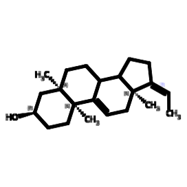 C/C=C1/CCC2C3CC[C@]4(C)C[C@H](O)CC[C@]4(C)C3=CC[C@]12C